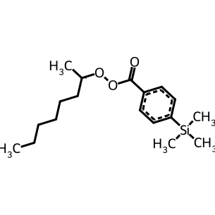 CCCCCC[C](C)OOC(=O)c1ccc([Si](C)(C)C)cc1